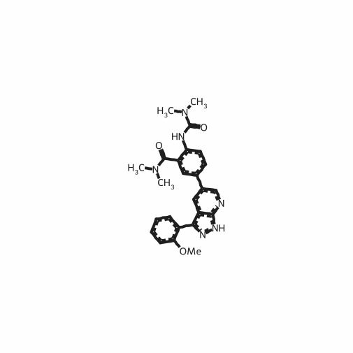 COc1ccccc1-c1n[nH]c2ncc(-c3ccc(NC(=O)N(C)C)c(C(=O)N(C)C)c3)cc12